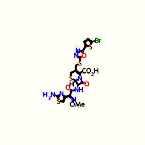 CON=C(C(=O)N[C@@H]1C(=O)N2C(C(=O)O)=C(CSc3nnc(-c4ccc(Br)s4)o3)CS[C@@H]12)c1csc(N)n1